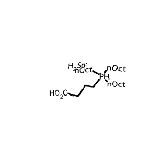 CCCCCCCC[PH](CCCCCCCC)(CCCCCCCC)CCCC(=O)O.[SnH2]